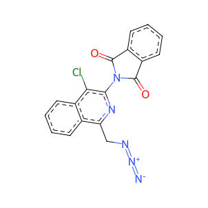 [N-]=[N+]=NCc1nc(N2C(=O)c3ccccc3C2=O)c(Cl)c2ccccc12